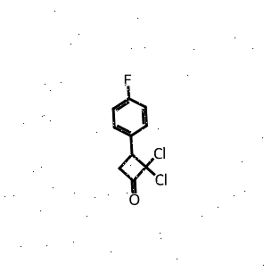 O=C1CC(c2ccc(F)cc2)C1(Cl)Cl